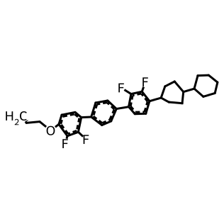 C=CCOc1ccc(-c2ccc(-c3ccc(C4CCC(C5CCCCC5)CC4)c(F)c3F)cc2)c(F)c1F